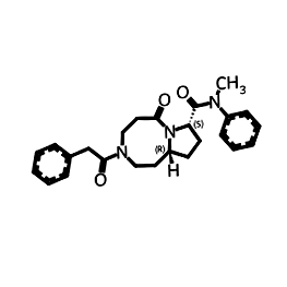 CN(C(=O)[C@@H]1CC[C@@H]2CCN(C(=O)Cc3ccccc3)CCC(=O)N21)c1ccccc1